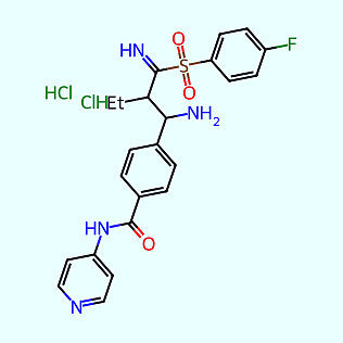 CCC(C(=N)S(=O)(=O)c1ccc(F)cc1)C(N)c1ccc(C(=O)Nc2ccncc2)cc1.Cl.Cl